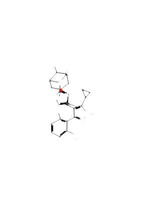 CC1C2C[C@@H](OCc3c(-c4c(Cl)cccc4Cl)noc3C3CC3)C[C@@H]1N2c1nc(Br)cs1